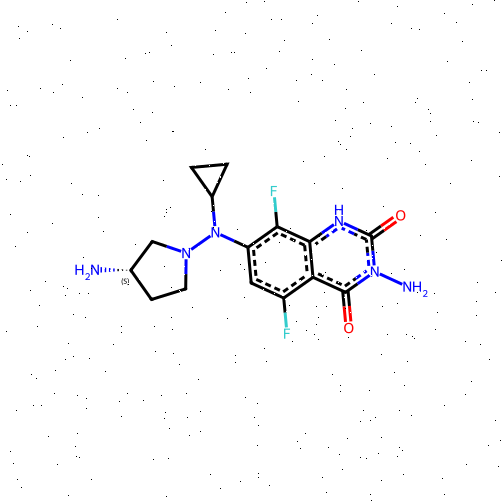 N[C@H]1CCN(N(c2cc(F)c3c(=O)n(N)c(=O)[nH]c3c2F)C2CC2)C1